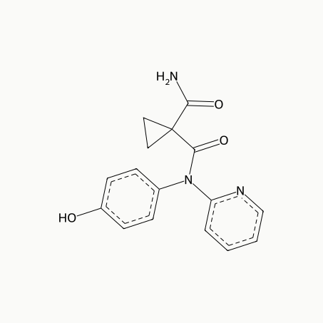 NC(=O)C1(C(=O)N(c2ccc(O)cc2)c2ccccn2)CC1